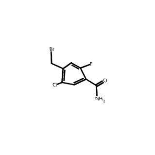 NC(=O)c1cc(Cl)c(CBr)cc1F